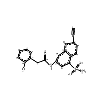 C#Cc1ccc2c(S(N)(=O)=O)cc(NC(=O)Cc3ccccc3Cl)cc2n1